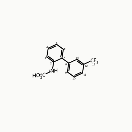 O=C(O)Nc1ccccc1-c1cccc(C(F)(F)F)c1